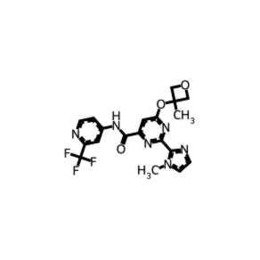 Cn1ccnc1-c1nc(OC2(C)COC2)cc(C(=O)Nc2ccnc(C(F)(F)F)c2)n1